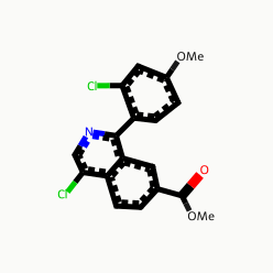 COC(=O)c1ccc2c(Cl)cnc(-c3ccc(OC)cc3Cl)c2c1